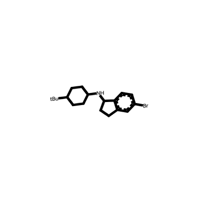 CC(C)(C)C1CCC(NC2CCc3cc(Br)ccc32)CC1